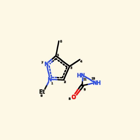 CCn1cc(C)c(C)n1.O=C1NN1